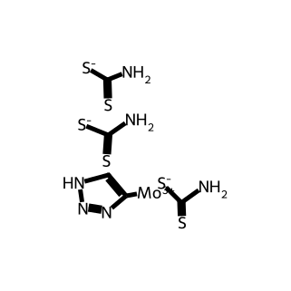 NC(=S)[S-].NC(=S)[S-].NC(=S)[S-].[Mo+3][c]1c[nH]nn1